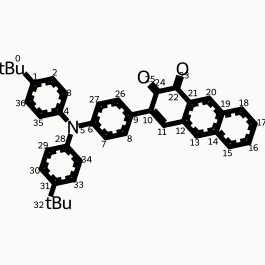 CC(C)(C)c1ccc(N(c2ccc(C3=Cc4cc5ccccc5cc4C(=O)C3=O)cc2)c2ccc(C(C)(C)C)cc2)cc1